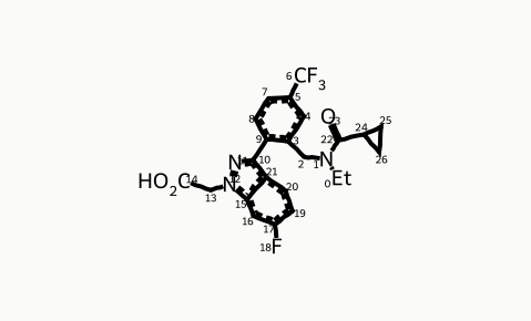 CCN(Cc1cc(C(F)(F)F)ccc1-c1nn(CC(=O)O)c2cc(F)ccc12)C(=O)C1CC1